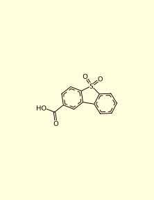 O=C(O)c1ccc2c(c1)-c1ccccc1S2(=O)=O